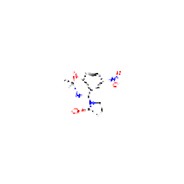 CC1(C)N=C(N2CCCC2=O)c2cc([N+](=O)[O-])ccc2O1